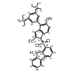 CCCc1ccc2c(c1-c1cc([Si](C)(C)C)cc([Si](C)(C)C)c1)C=C(CC)[CH]2[Zr]([Cl])([Cl])[c]1cccc2c1[SiH2]c1ccccc1-2